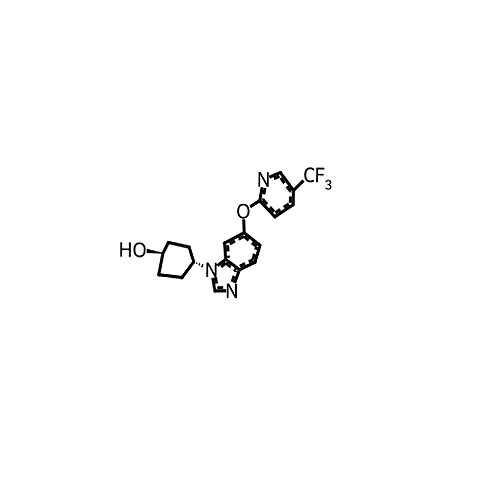 O[C@H]1CC[C@H](n2cnc3ccc(Oc4ccc(C(F)(F)F)cn4)cc32)CC1